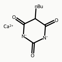 CCCCC1C(=O)[N-]C(=O)[N-]C1=O.[Ca+2]